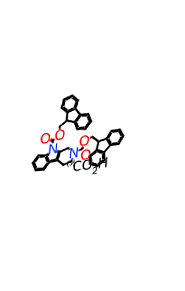 O=C(O)[C@@H]1Cc2c(n(C(=O)OCC3c4ccccc4-c4ccccc43)c3ccccc23)CN1C(=O)OCC1c2ccccc2-c2ccccc21